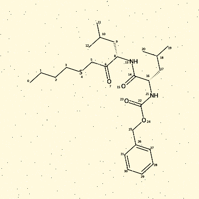 CCCCSCC(=O)[C@H](CC(C)C)NC(=O)[C@H](CC(C)C)NC(=O)OCc1ccccc1